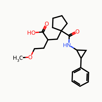 COCCC(CC1(C(=O)NC2CC2c2ccccc2)CCCC1)C(=O)O